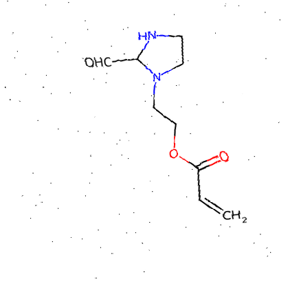 C=CC(=O)OCCN1CCNC1C=O